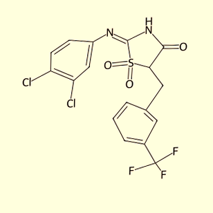 O=C1NC(=Nc2ccc(Cl)c(Cl)c2)S(=O)(=O)C1Cc1cccc(C(F)(F)F)c1